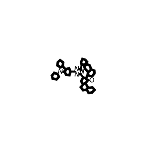 c1ccc(-c2nc(-c3ccc4c(c3)c3ccccc3n4-c3ccccc3)nc(-c3cc4ccc5ccccc5c4c4oc5ccc6ccccc6c5c34)n2)cc1